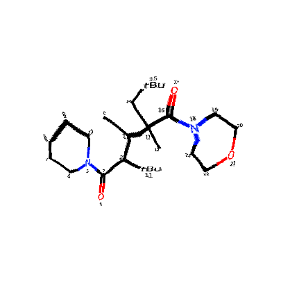 CC(C(C(=O)N1CCCCC1)C(C)(C)C)C(C)(CC(C)(C)C)C(=O)N1CCOCC1